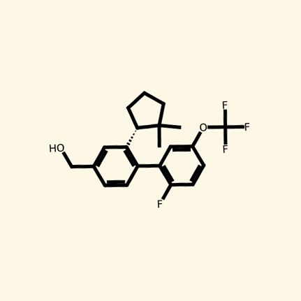 CC1(C)CCC[C@H]1c1cc(CO)ccc1-c1cc(OC(F)(F)F)ccc1F